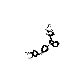 CCOc1nc(-c2cn(-c3ccc(Oc4ccc(C(F)(F)F)c(C#N)c4)cc3)c3ccccc23)co1